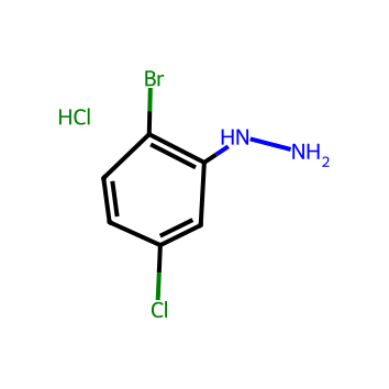 Cl.NNc1cc(Cl)ccc1Br